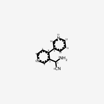 N#CC(N)c1cnccc1-c1cccnc1